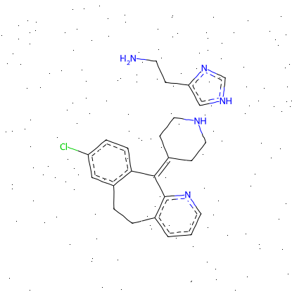 Clc1ccc2c(c1)CCc1cccnc1C2=C1CCNCC1.NCCc1c[nH]cn1